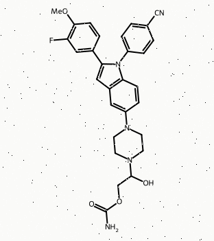 COc1ccc(-c2cc3cc(N4CCN(C(O)COC(N)=O)CC4)ccc3n2-c2ccc(C#N)cc2)cc1F